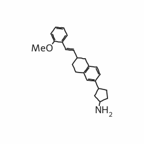 COc1ccccc1/C=C/C1CCc2cc(C3CCC(N)C3)ccc2C1